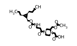 C#CCC[C@@H]1[C@H](CCC)[C@@H]1COC(=O)NCCC(=O)N1CCN(CC(=O)O)C(COC(C)=O)C1